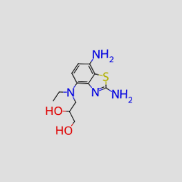 CCN(CC(O)CO)c1ccc(N)c2sc(N)nc12